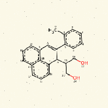 Cc1ccccc1C1=Cc2cccc3cccc(c23)C1C(CO)CO